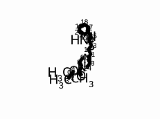 CC(C)(C)OC(=O)N1CCN(CCSc2nc3ccccc3[nH]2)CC1